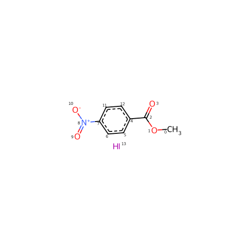 COC(=O)c1ccc([N+](=O)[O-])cc1.I